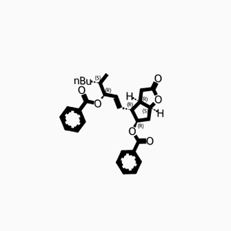 CCCC[C@H](C)[C@H](C=C[C@@H]1[C@H]2CC(=O)O[C@H]2C[C@H]1OC(=O)c1ccccc1)OC(=O)c1ccccc1